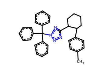 Cc1ccc(C2CCCCC2c2nnn(C(c3ccccc3)(c3ccccc3)c3ccccc3)n2)cc1